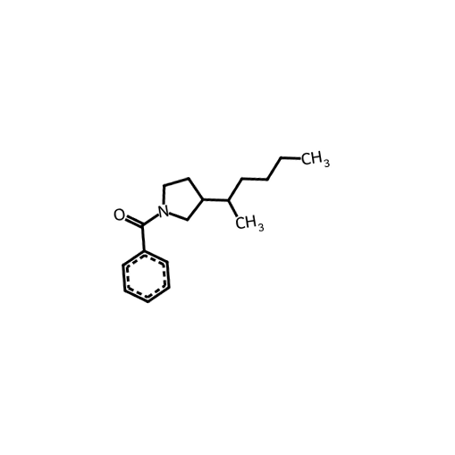 CCCCC(C)C1CCN(C(=O)c2ccccc2)C1